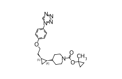 CC1(OC(=O)N2CCC([C@H]3C[C@H]3CCOc3ccc(-n4cnnn4)cc3)CC2)CC1